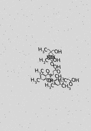 C=CC(=O)O.C=CC(=O)O.CCC(CO)(CO)CO.Cc1cc(C)c(C(=O)P(CCC(=O)O)C(=O)c2c(C)cc(C)cc2C)c(C)c1